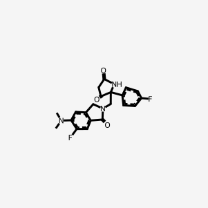 CN(C)c1cc2c(cc1F)C(=O)N(CC1(c3ccc(F)cc3)NC(=O)CC1=O)C2